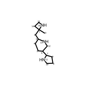 CC1(CC2CCC(C3CCCN3)CN2)CCN1